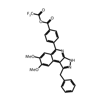 COc1cc2c(-c3ccc(C(=O)OC(=O)C(F)(F)F)cc3)nc3[nH]nc(Cc4ccccc4)c3c2cc1OC